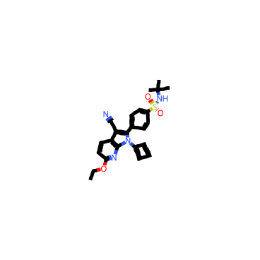 CCOc1ccc2c(C#N)c(-c3ccc(S(=O)(=O)NC(C)(C)C)cc3)n(C3=CC=C3)c2n1